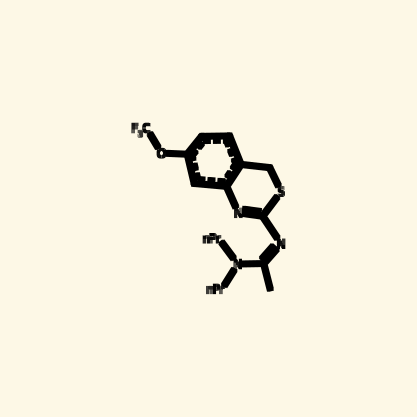 CCCN(CCC)C(C)=NC1=Nc2cc(OC(F)(F)F)ccc2CS1